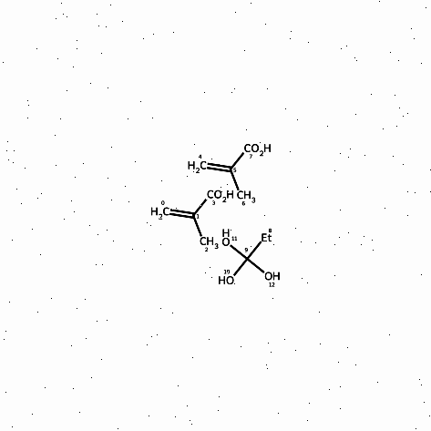 C=C(C)C(=O)O.C=C(C)C(=O)O.CCC(O)(O)O